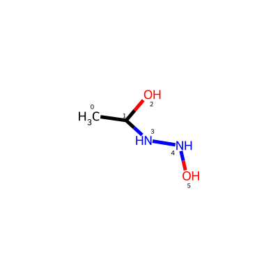 CC(O)NNO